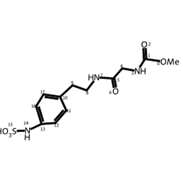 COC(=O)NCC(=O)NCCc1ccc(NS(=O)(=O)O)cc1